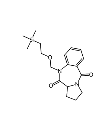 C[Si](C)(C)CCOCN1C(=O)C2CCCN2C(=O)c2ccccc21